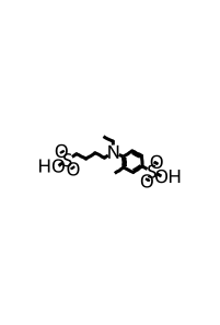 CCN(CCCCS(=O)(=O)O)c1ccc(S(=O)(=O)O)cc1C